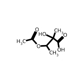 CC(=O)OC(C)C(C)(O)C(=O)O